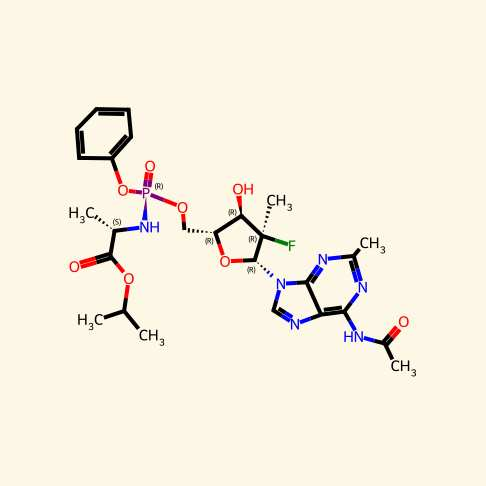 CC(=O)Nc1nc(C)nc2c1ncn2[C@@H]1O[C@H](CO[P@](=O)(N[C@@H](C)C(=O)OC(C)C)Oc2ccccc2)[C@@H](O)[C@@]1(C)F